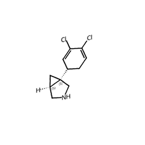 ClC1=CCC([C@]23CNC[C@H]2C3)C=C1Cl